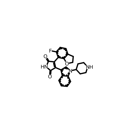 O=C1NC(=O)C(c2cn(C3CCNCC3)c3ccccc23)=C1c1c(F)ccc2c1OCC2